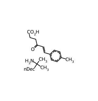 CCCCCCCCCCC(C)(C)N.Cc1ccc(C=CC(=O)CCC(=O)O)cc1